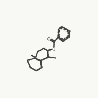 CC1C(OC(=O)c2ccccc2)CCC2(C)C[CH]CCC12